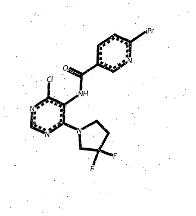 CC(C)c1ccc(C(=O)Nc2c(Cl)ncnc2N2CCC(F)(F)C2)cn1